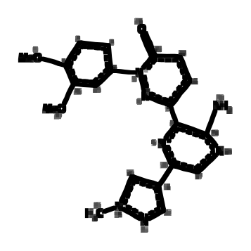 COc1ccc(-n2nc(-c3nc(-c4cnn(C)c4)cnc3N)ccc2=O)cc1OC